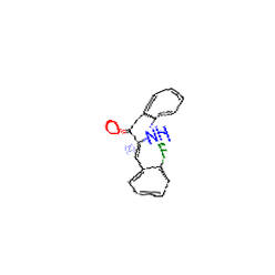 O=C1/C(=C/c2ccccc2F)Nc2ccccc21